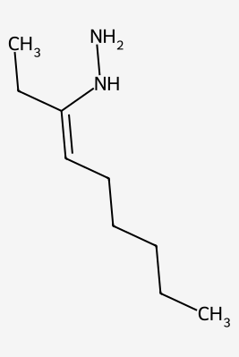 CCCCCC=C(CC)NN